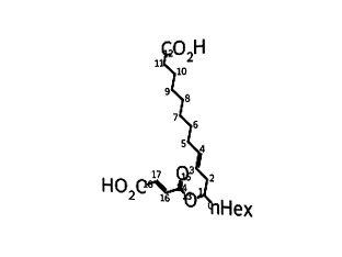 CCCCCCC(CC=CCCCCCCCC(=O)O)OC(=O)C=CC(=O)O